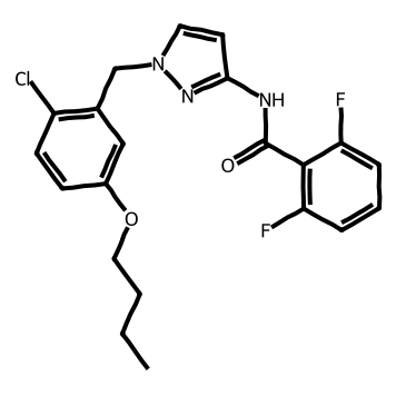 CCCCOc1ccc(Cl)c(Cn2ccc(NC(=O)c3c(F)cccc3F)n2)c1